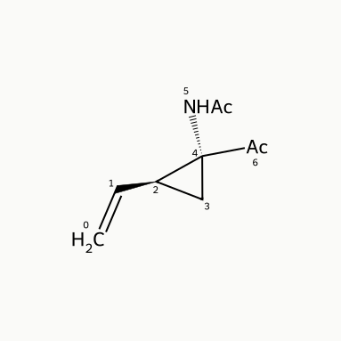 C=C[C@@H]1C[C@]1(NC(C)=O)C(C)=O